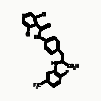 O=C(Nc1ccc(CC(Nc2cc(C(F)(F)F)ccc2F)C(=O)O)cc1)c1c(Cl)cncc1Cl